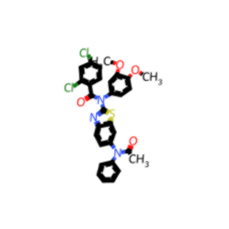 COc1ccc(N(C(=O)c2ccc(Cl)cc2Cl)c2nc3ccc(N(C(C)=O)c4ccccc4)cc3s2)cc1OC